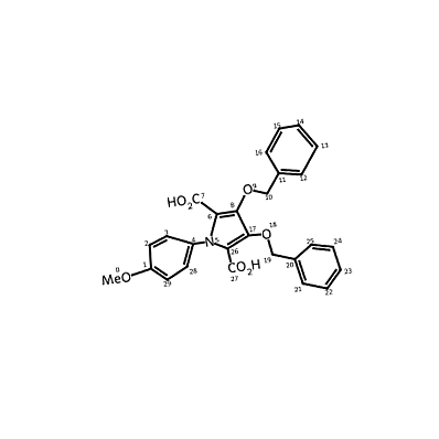 COc1ccc(-n2c(C(=O)O)c(OCc3ccccc3)c(OCc3ccccc3)c2C(=O)O)cc1